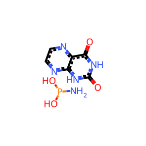 NP(O)O.O=c1[nH]c(=O)c2nccnc2[nH]1